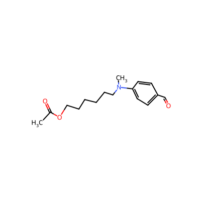 CC(=O)OCCCCCCN(C)c1ccc(C=O)cc1